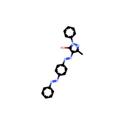 Cc1nn(-c2ccccc2)c(O)c1N=Nc1ccc(N=Nc2ccccc2)cc1